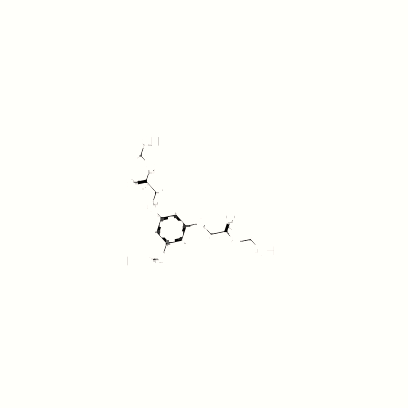 CCOC(=O)COc1cc(OC)cc(OCC(=O)OCC)c1